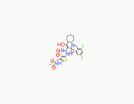 CS(=O)(=O)NCc1csc2c1S(=O)(=O)N=C(C1=C(O)C3CCCCCC3N(Cc3ccc(F)cc3F)C1=O)N2